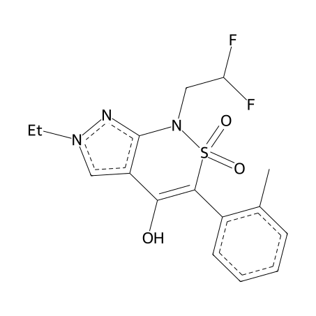 CCn1cc2c(n1)N(CC(F)F)S(=O)(=O)C(c1ccccc1C)=C2O